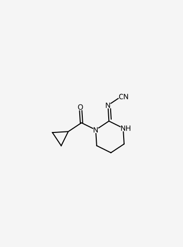 N#CN=C1NCCCN1C(=O)C1CC1